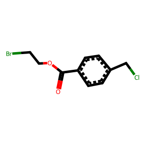 O=C(OCCBr)c1ccc(CCl)cc1